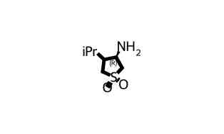 CC(C)C1CS(=O)(=O)C[C@@H]1N